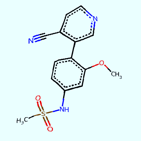 COc1cc(NS(C)(=O)=O)ccc1-c1cnccc1C#N